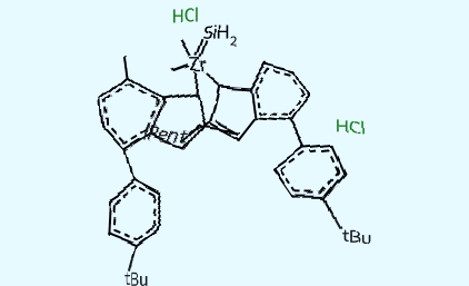 CCCC(C)C1=Cc2c(-c3ccc(C(C)(C)C)cc3)cccc2[CH]1[Zr]([CH3])([CH3])(=[SiH2])[CH]1C(C)=Cc2c(-c3ccc(C(C)(C)C)cc3)ccc(C)c21.Cl.Cl